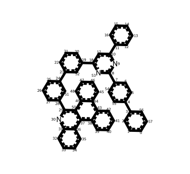 c1ccc(-c2ccc(-c3nc(-c4ccccc4)cc(-c4cccc(-c5cccc(-c6nc7ccccc7c7c8ccccc8c8ccccc8c67)c5)c4)n3)cc2)cc1